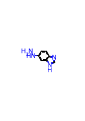 NNc1ccc2nc[nH]c2c1